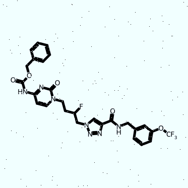 O=C(Nc1ccn(CCC(F)Cn2cc(C(=O)NCc3cccc(OC(F)(F)F)c3)nn2)c(=O)n1)OCc1ccccc1